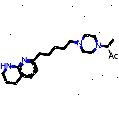 CC(=O)[C@@H](C)N1CCN(CCCCCc2ccc3c(n2)NCCC3)CC1